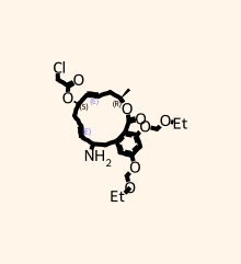 CCOCOc1cc2c(c(OCOCC)c1)C(=O)O[C@H](C)C/C=C/[C@@H](OC(=O)CCl)C/C=C/C(N)C2